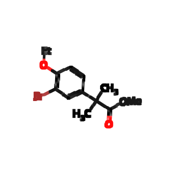 CCOc1ccc(C(C)(C)C(=O)OC)cc1Br